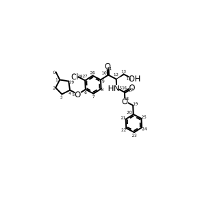 CC1CCC(Oc2ccc(C(=O)[C@@H](CO)NC(=O)OCc3ccccc3)cc2Cl)C1